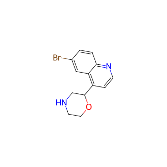 Brc1ccc2nccc(C3CNCCO3)c2c1